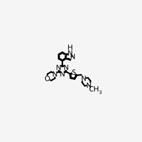 CN1CCN(Cc2ccc(-c3nc(-c4cccc5[nH]ncc45)nc(N4CCOCC4)n3)s2)CC1